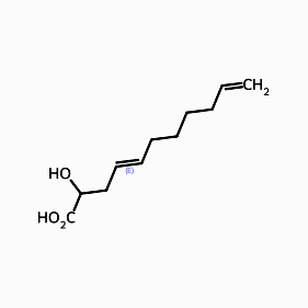 C=CCCCC/C=C/CC(O)C(=O)O